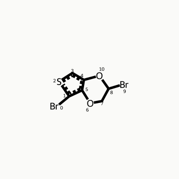 Brc1scc2c1OCC(Br)O2